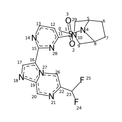 CS(=O)(=O)N1C2CCC1CN(c1ccnc(-c3cnc4cnc(C(F)F)cn34)n1)C2